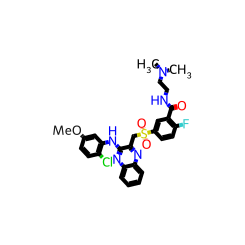 COc1ccc(Cl)c(Nc2nc3ccccc3nc2CS(=O)(=O)c2ccc(F)c(C(=O)NCCN(C)C)c2)c1